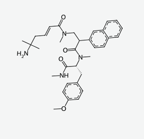 CNC(=O)[C@@H](Cc1ccc(OC)cc1)N(C)C(=O)C(CN(C)C(=O)/C=C/CC(C)(C)N)c1ccc2ccccc2c1